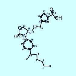 CCCCCC(C)c1ccc(N2C(=O)OC[C@@H]2COCc2ccc(C(=O)O)s2)cc1